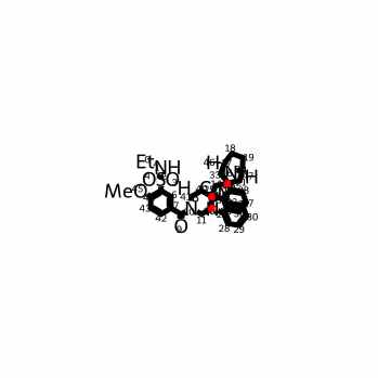 CCNS(=O)(=O)c1cc(C(=O)N2CCC(CCN3[C@@H]4CC[C@H]3CC(n3c(C)nc5ccccc53)C4)(c3ccccc3)CC2)ccc1OC